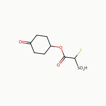 O=C1CCC(OC(=O)C(F)S(=O)(=O)O)CC1